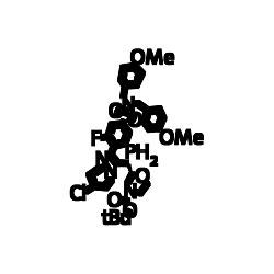 COc1ccc(CN(Cc2ccc(OC)cc2)S(=O)(=O)c2cc(F)c(-c3nc4cc(Cl)ccn4c3C[C@H]3CN(C(=O)OC(C)(C)C)CCO3)c(P)c2)cc1